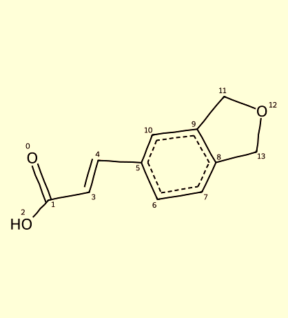 O=C(O)/C=C/c1ccc2c(c1)COC2